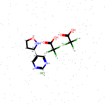 Cl.O=C(O)C(F)(F)F.O=C(O)C(F)(F)F.c1ncc([C@@H]2CCON2)cn1